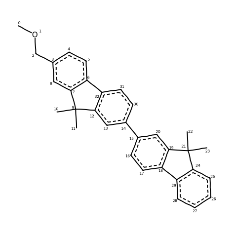 COCc1ccc2c(c1)C(C)(C)c1cc(-c3ccc4c(c3)C(C)(C)c3ccccc3-4)ccc1-2